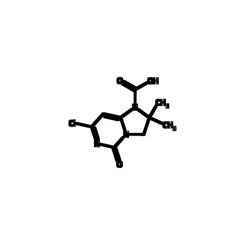 CC1(C)Cn2c(cc(Cl)nc2=O)N1C(=O)O